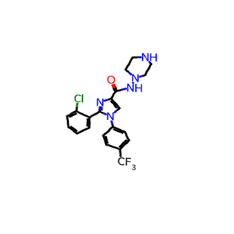 O=C(NN1CCNCC1)c1cn(-c2ccc(C(F)(F)F)cc2)c(-c2ccccc2Cl)n1